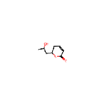 CC(O)CC1CC=CC(=O)O1